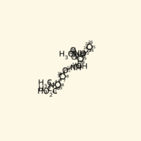 CN(C)c1cc(-c2ccc(OCCNC[C@H](O)c3ccc(OCc4ccccc4)c(NS(C)(=O)=O)c3)cc2)ccc1C(=O)O